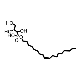 CCCCCCCC/C=C\CCCCCCCCOP(=O)(O)C(O)[C@@H](O)CO